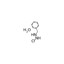 ClNNCc1ccccc1.O